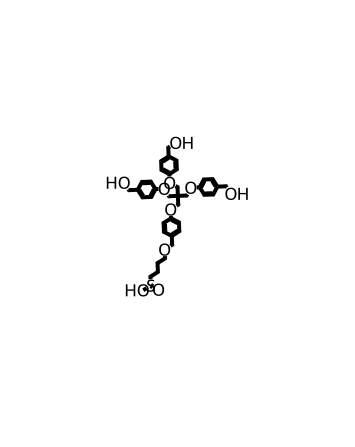 O=S(O)CCCCOCc1ccc(OCC(COc2ccc(CO)cc2)(COc2ccc(CO)cc2)COc2ccc(CO)cc2)cc1